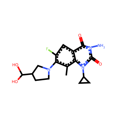 Cc1c(N2CCC(C(O)O)C2)c(F)cc2c(=O)n(N)c(=O)n(C3CC3)c12